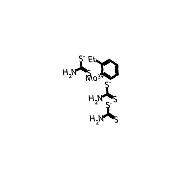 CCc1cccc[c]1[Mo+3].NC(=S)[S-].NC(=S)[S-].NC(=S)[S-]